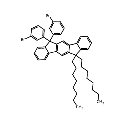 CCCCCCCCC1(CCCCCCCC)c2ccccc2-c2cc3c(cc21)-c1ccccc1C3(c1cccc(Br)c1)c1cccc(Br)c1